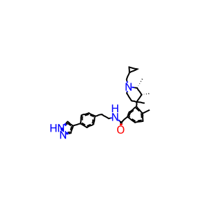 Cc1ccc(C(=O)NCCc2ccc(-c3cn[nH]c3)cc2)cc1C1(C)CCN(CC2CC2)[C@H](C)[C@@H]1C